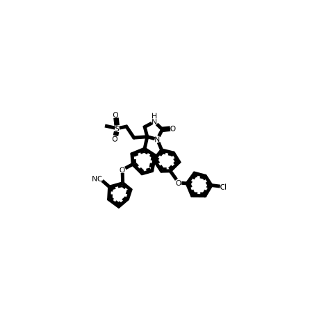 CS(=O)(=O)CCC1(c2cccc(Oc3ccccc3C#N)c2)CNC(=O)N1c1ccc(Oc2ccc(Cl)cc2)cc1